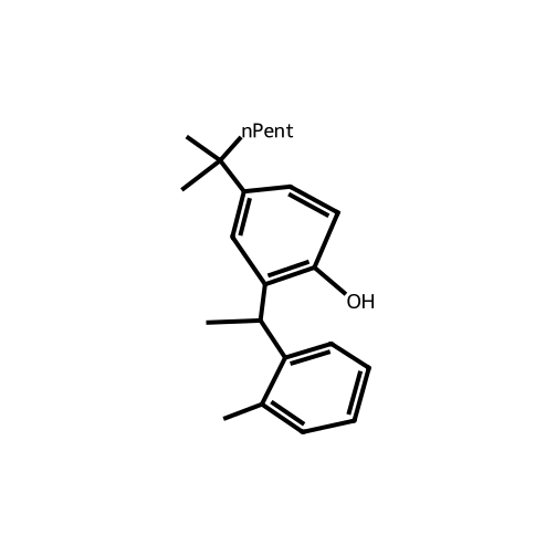 CCCCCC(C)(C)c1ccc(O)c(C(C)c2ccccc2C)c1